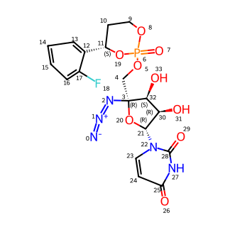 [N-]=[N+]=N[C@]1(COP2(=O)OCC[C@@H](c3ccccc3F)O2)O[C@@H](n2ccc(=O)[nH]c2=O)[C@H](O)[C@@H]1O